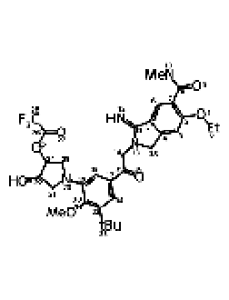 CCOc1cc2c(cc1C(=O)NC)C(=N)N(CC(=O)c1cc(N3CC(O)C(OC(=O)C(F)(F)F)C3)c(OC)c(C(C)(C)C)c1)C2